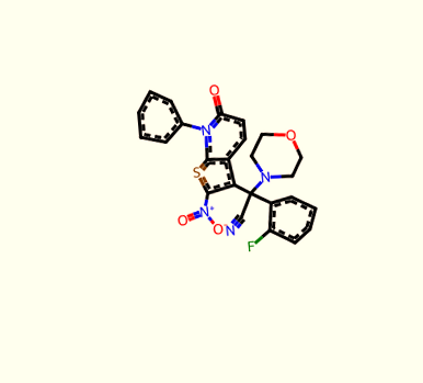 N#CC(c1ccccc1F)(c1c([N+](=O)[O-])sc2c1ccc(=O)n2-c1ccccc1)N1CCOCC1